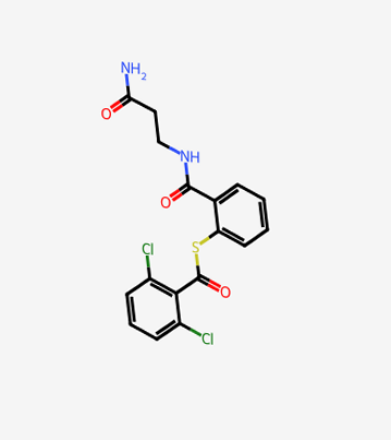 NC(=O)CCNC(=O)c1ccccc1SC(=O)c1c(Cl)cccc1Cl